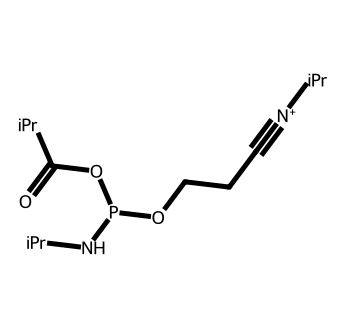 CC(C)[N+]#CCCOP(NC(C)C)OC(=O)C(C)C